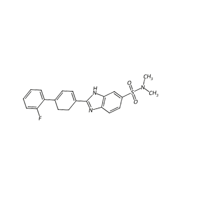 CN(C)S(=O)(=O)c1ccc2nc(C3=CC=C(c4ccccc4F)CC3)[nH]c2c1